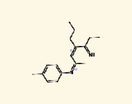 CCC/C(=C/C(C)=N\c1ccc(C)cc1)C(=N)CC